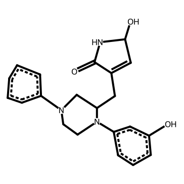 O=C1NC(O)C=C1CC1CN(c2ccccc2)CCN1c1cccc(O)c1